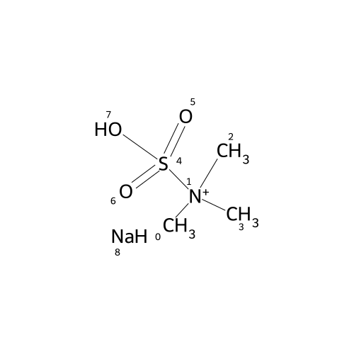 C[N+](C)(C)S(=O)(=O)O.[NaH]